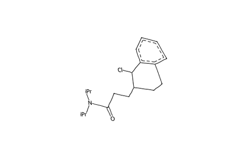 CC(C)N(C(=O)CCC1CCc2ccccc2C1Cl)C(C)C